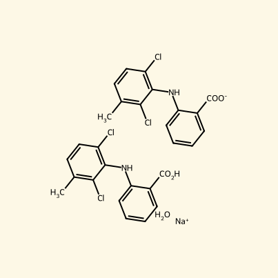 Cc1ccc(Cl)c(Nc2ccccc2C(=O)O)c1Cl.Cc1ccc(Cl)c(Nc2ccccc2C(=O)[O-])c1Cl.O.[Na+]